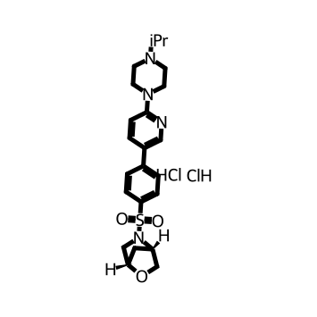 CC(C)N1CCN(c2ccc(-c3ccc(S(=O)(=O)N4C[C@@H]5C[C@H]4CO5)cc3)cn2)CC1.Cl.Cl